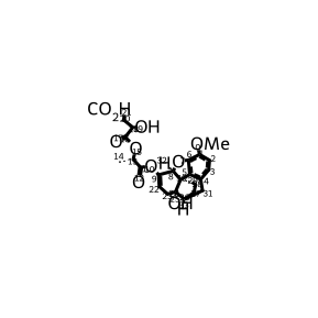 COc1ccc2c3c1O[C@@H]1C(OC(=O)[C@H](C)OC(=O)[C@@H](O)CC(=O)O)=CC[C@]4(O)[C@@H](CCC[C@@]314)C2